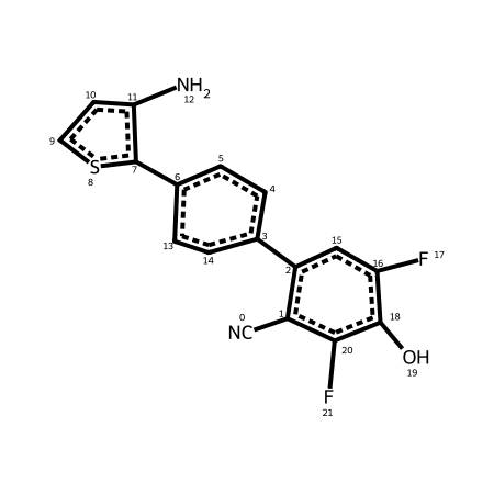 N#Cc1c(-c2ccc(-c3sccc3N)cc2)cc(F)c(O)c1F